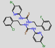 Fc1ccccc1CCNC(=S)Nc1ccc(Br)cn1.S=C(NCCc1ccccc1Cl)Nc1ccc(Br)cn1